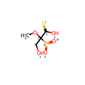 COC(CO)(C(O)=S)P(=O)=O